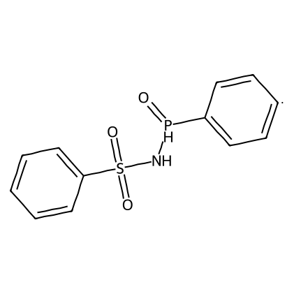 O=[PH](NS(=O)(=O)c1ccccc1)c1cc[c]cc1